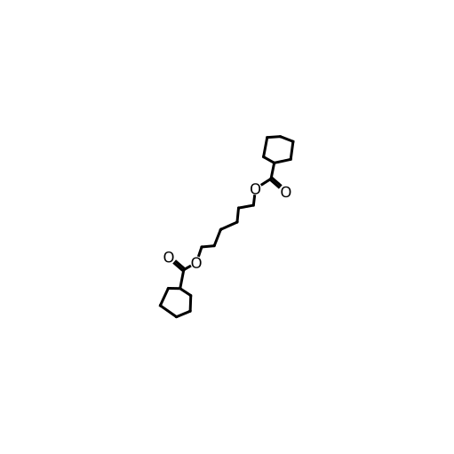 O=C(OCCCCCCOC(=O)C1CCCCC1)C1CCCCC1